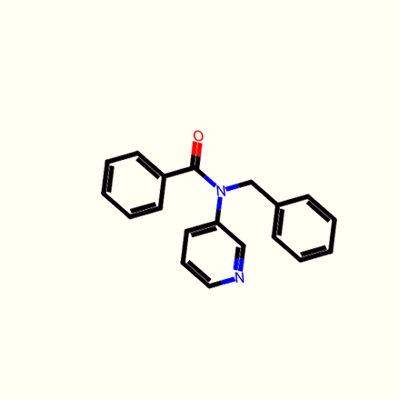 O=C(c1ccccc1)N(Cc1ccccc1)c1cccnc1